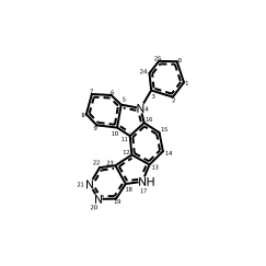 c1ccc(-n2c3ccccc3c3c4c(ccc32)[nH]c2cnncc24)cc1